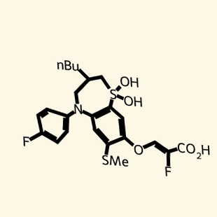 CCCCC1CN(c2ccc(F)cc2)c2cc(SC)c(O/C=C(\F)C(=O)O)cc2S(O)(O)C1